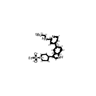 CCS(=O)(=O)N1CCC(c2c[nH]c3ccc(-c4ccnc(NCC(C)(C)C)c4)cc23)CC1